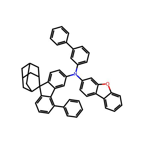 c1ccc(-c2cccc(N(c3ccc4c(c3)-c3c(-c5ccccc5)cccc3C43C4CC5CC(C4)CC3C5)c3ccc4c(c3)oc3ccccc34)c2)cc1